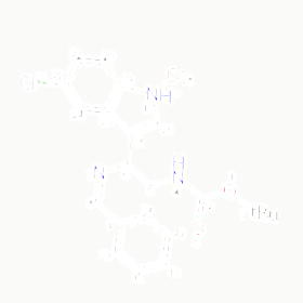 CC(C)(C)OC(=O)NCC(/N=C\c1ccccc1)C1=C[NH+]([O-])c2ccc(Cl)cc21